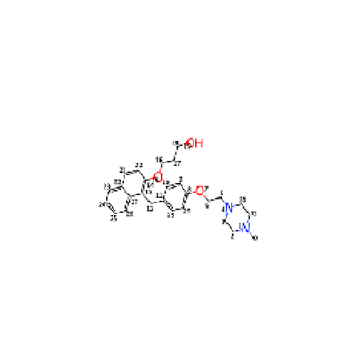 CN1CCN(CCOc2ccc(Cc3c(OCCCO)ccc4ccccc34)cc2)CC1